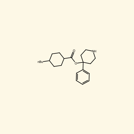 CCCCC1CCC(C(=O)OC2(c3ccccc3)CCNCC2)CC1